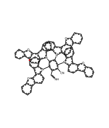 N#Cc1c(C=N)c(-n2c3ccccc3c3c4oc5ccccc5c4ccc32)c(-n2c3ccccc3c3c4oc5ccccc5c4ccc32)c(-n2c3ccccc3c3c4oc5ccccc5c4ccc32)c1-n1c2ccccc2c2c3oc4ccccc4c3ccc21